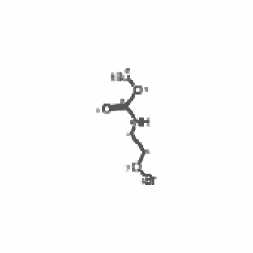 CC(C)(C)OC(=O)NCCOBr